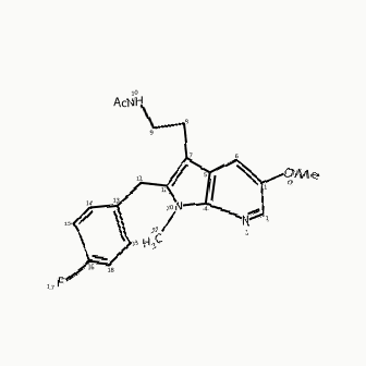 COc1cnc2c(c1)c(CCNC(C)=O)c(Cc1ccc(F)cc1)n2C